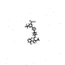 O=C(O)c1cc(-c2noc(C34CCC(C=Cc5c(-c6c(Cl)cncc6Cl)noc5C5CC5)(CC3)OC4)n2)cc(C(F)(F)F)c1